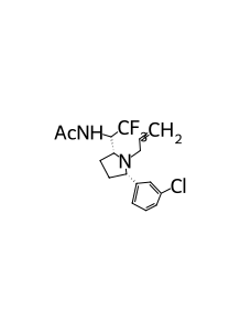 C=CCN1[C@@H](C(NC(C)=O)C(F)(F)F)CC[C@H]1c1cccc(Cl)c1